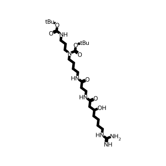 CC(C)(C)OC(=O)NCCCN(CCCCNC(=O)CCNC(=O)CC(O)CCCCNC(=N)N)C(=O)OC(C)(C)C